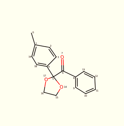 Cc1ccc(C2(C(=O)c3ccccc3)OCCO2)cc1